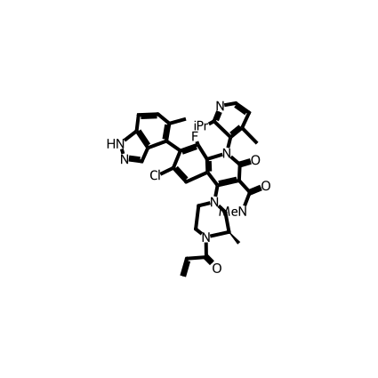 C=CC(=O)N1CCN(c2c(C(=O)NC)c(=O)n(-c3c(C)ccnc3C(C)C)c3c(F)c(-c4c(C)ccc5[nH]ncc45)c(Cl)cc23)C[C@H]1C